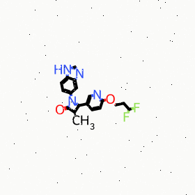 C[C@H]1C(=O)N(c2ccc3[nH]cnc3c2)C1c1ccc(OCCC(F)F)nc1